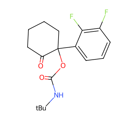 CC(C)(C)NC(=O)OC1(c2cccc(F)c2F)CCCCC1=O